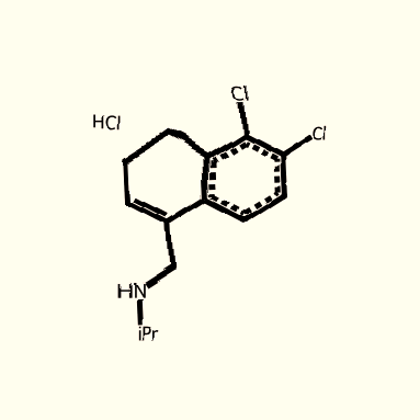 CC(C)NCC1=CCCc2c1ccc(Cl)c2Cl.Cl